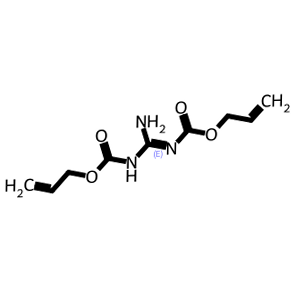 C=CCOC(=O)/N=C(\N)NC(=O)OCC=C